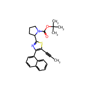 CC#Cc1sc(C2CCCN2C(=O)OC(C)(C)C)nc1-c1cccc2ccccc12